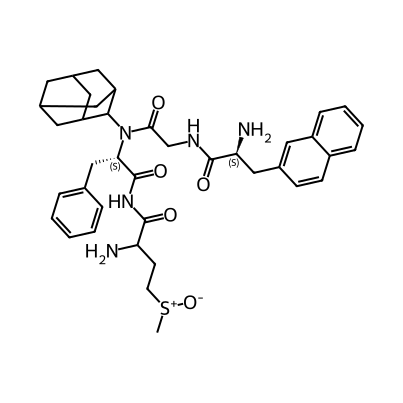 C[S+]([O-])CCC(N)C(=O)NC(=O)[C@H](Cc1ccccc1)N(C(=O)CNC(=O)[C@@H](N)Cc1ccc2ccccc2c1)C1C2CC3CC(C2)CC1C3